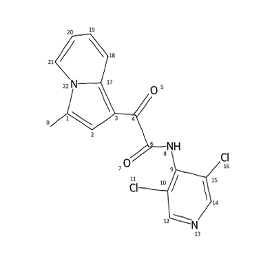 Cc1cc(C(=O)C(=O)Nc2c(Cl)cncc2Cl)c2ccccn12